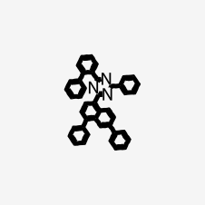 c1ccc(-c2ccc3c(-c4nc(-c5ccccc5)nc(-c5ccccc5-c5ccccc5)n4)ccc(-c4ccccc4)c3c2)cc1